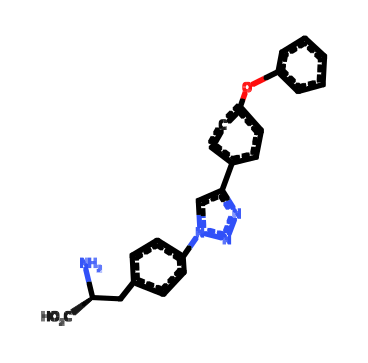 N[C@@H](Cc1ccc(-n2cc(-c3ccc(Oc4ccccc4)cc3)nn2)cc1)C(=O)O